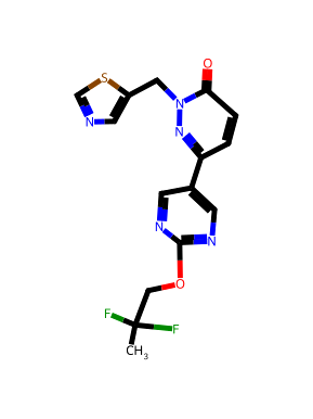 CC(F)(F)COc1ncc(-c2ccc(=O)n(Cc3cncs3)n2)cn1